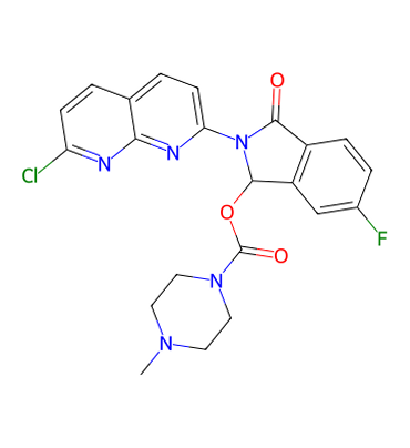 CN1CCN(C(=O)OC2c3cc(F)ccc3C(=O)N2c2ccc3ccc(Cl)nc3n2)CC1